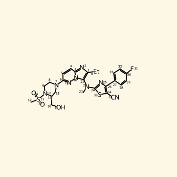 CCc1nc2ccc(N3CCN(S(C)(=O)=O)[C@H](CO)C3)nn2c1N(C)c1nc(-c2ccc(F)cc2)c(C#N)s1